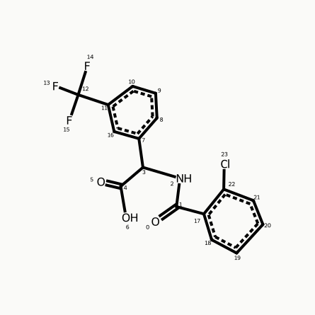 O=C(NC(C(=O)O)c1cccc(C(F)(F)F)c1)c1ccccc1Cl